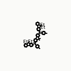 CCC1(CC)c2ccccc2-c2ccc(N(c3ccc(C)cc3)c3ccc4c(c3)C(C)(C)c3cc(N(c5ccc(C)cc5)c5ccc6c(c5)C(CC)(CC)c5ccccc5-6)ccc3-4)cc21